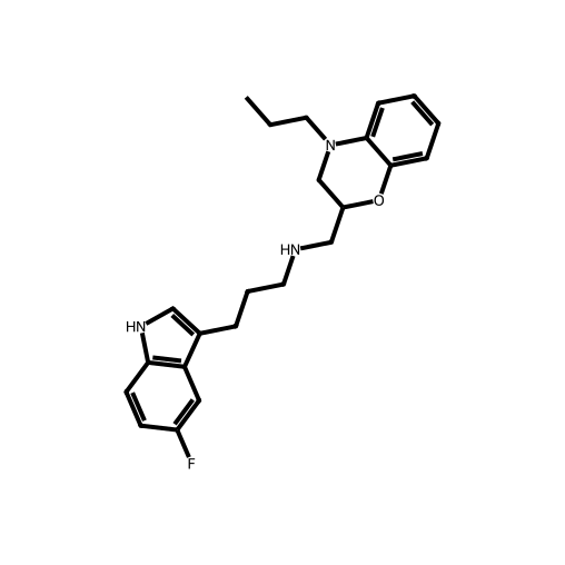 CCCN1CC(CNCCCc2c[nH]c3ccc(F)cc23)Oc2ccccc21